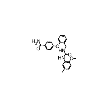 COc1ccc(C)cc1NC(=O)NCc1ccccc1Oc1ccc(C(N)=O)cc1